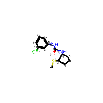 CSC1CCCC1NC(=O)Nc1cccc(Cl)c1